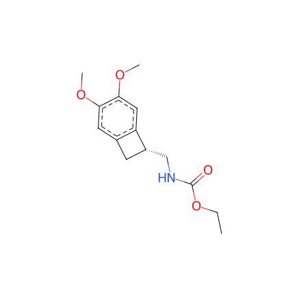 CCOC(=O)NC[C@@H]1Cc2cc(OC)c(OC)cc21